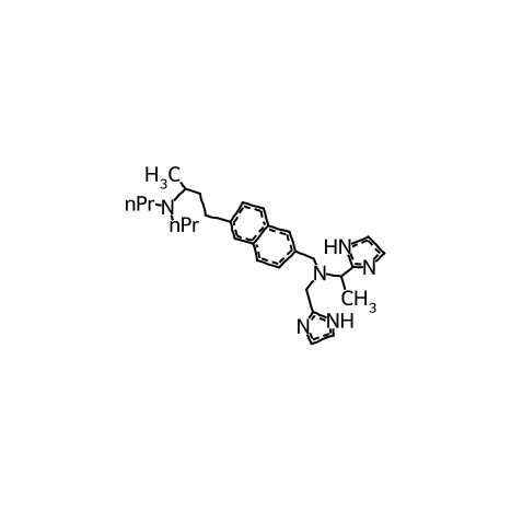 CCCN(CCC)C(C)CCc1ccc2cc(CN(Cc3ncc[nH]3)C(C)c3ncc[nH]3)ccc2c1